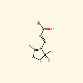 CCC(=O)/C=C/C1=C(C)CCC1(C)C